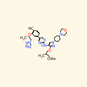 COCC(C)COc1nn([C@H]2CC[C@H](N3CCOCC3)CC2)cc1Nc1ncc(-c2ccc(C#N)c(O[C@@H](C)Cn3cnnn3)c2)cn1